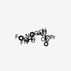 CC(C)C[C@H](NCC(O)COc1cccc(C(=O)c2cnn(-c3ccc(F)cc3F)c2N)c1)C(=O)OC1CCCC1